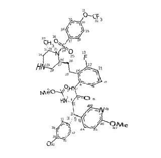 COC(=O)N[C@H](C(=O)Nc1cccc(F)c1CC[C@H]1CNC[C@H](C)N1S(=O)(=O)c1ccc(OC(F)(F)F)cc1)[C@@H](c1ccc(Cl)cc1)c1ccc(OC)nc1